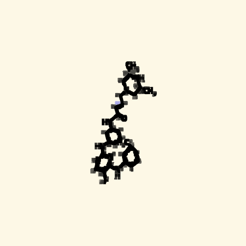 Cc1cccc(Nc2nc(Nc3cccc(NC(=O)/C=C/CN4C[C@@H](C)N[C@@H](C)C4)c3)ncc2F)c1